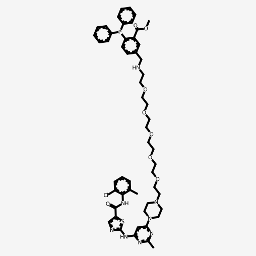 COC(=O)c1cc(CNCCOCCOCCOCCOCCOCCN2CCN(c3cc(Nc4ncc(C(=O)Nc5c(C)cccc5Cl)s4)nc(C)n3)CC2)ccc1P(c1ccccc1)c1ccccc1